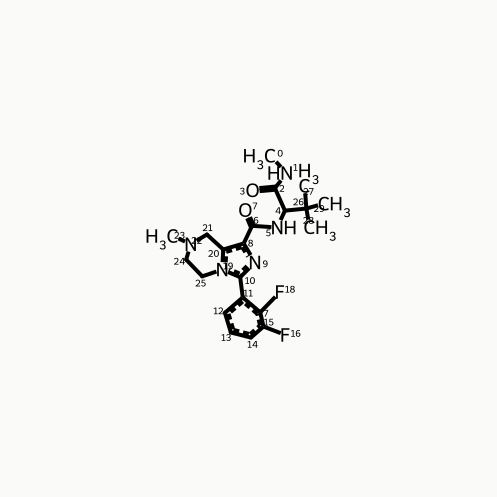 CNC(=O)C(NC(=O)c1nc(-c2cccc(F)c2F)n2c1CN(C)CC2)C(C)(C)C